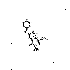 C=C(OCCC)c1cc(Oc2ccccc2)ccc1C(=O)OC